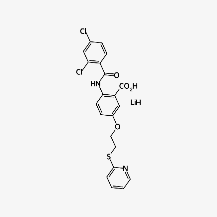 O=C(Nc1ccc(OCCSc2ccccn2)cc1C(=O)O)c1ccc(Cl)cc1Cl.[LiH]